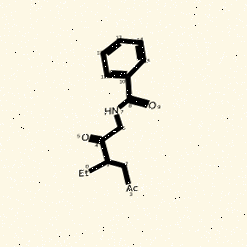 CCC(CC(C)=O)C(=O)CNC(=O)c1ccccc1